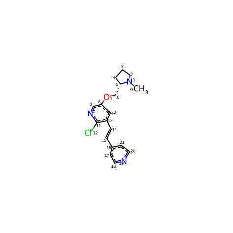 CN1CCC[C@H]1COc1cnc(Cl)c(C=Cc2ccncc2)c1